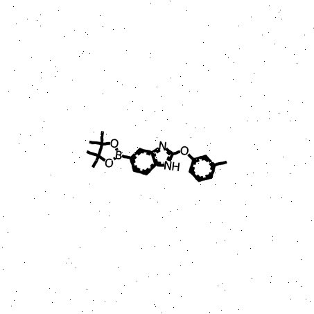 Cc1cccc(Oc2nc3cc(B4OC(C)(C)C(C)(C)O4)ccc3[nH]2)c1